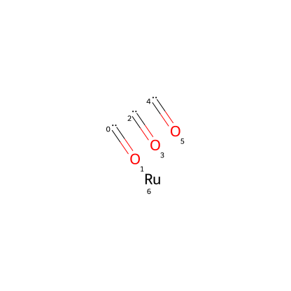 [C]=O.[C]=O.[C]=O.[Ru]